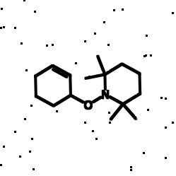 CC1(C)CCCC(C)(C)N1OC1C=CCCC1